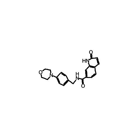 O=C(NCc1ccc(N2CCOCC2)cc1)c1ccc2ccc(=O)[nH]c2c1